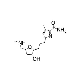 CNCC1C[C@@H](O)[C@H](CCCC2C=C(C)C(C(N)=O)=N2)O1